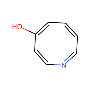 OC1=C/C=C\C=N/C=C\1